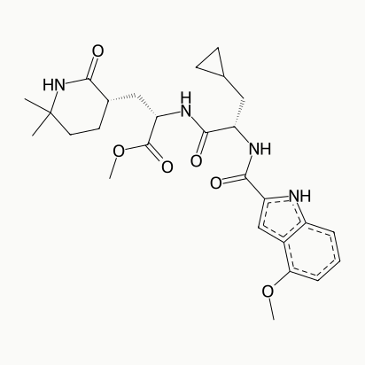 COC(=O)[C@H](C[C@@H]1CCC(C)(C)NC1=O)NC(=O)[C@H](CC1CC1)NC(=O)c1cc2c(OC)cccc2[nH]1